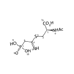 CC(=O)N[C@@H](CSC(=N)CP(=O)(O)O)C(=O)O